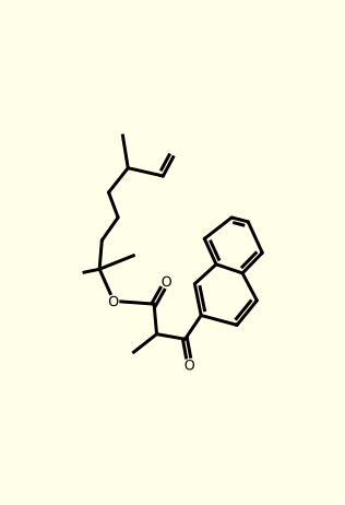 C=CC(C)CCCC(C)(C)OC(=O)C(C)C(=O)c1ccc2ccccc2c1